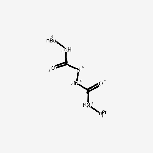 CCCCNC(=O)[N]NC(=O)NCCC